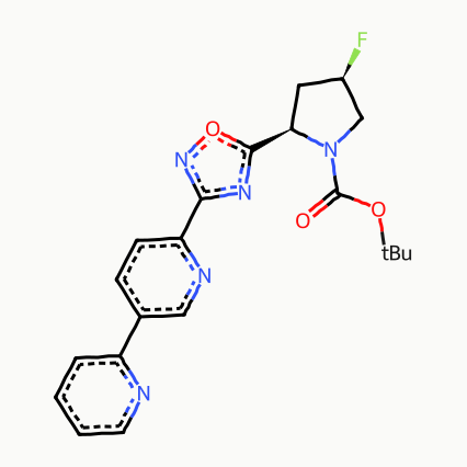 CC(C)(C)OC(=O)N1C[C@H](F)C[C@@H]1c1nc(-c2ccc(-c3ccccn3)cn2)no1